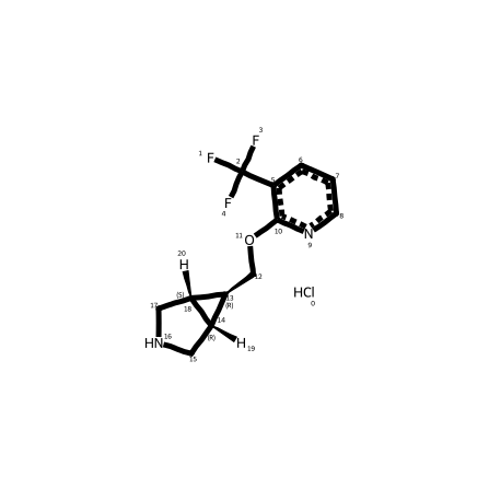 Cl.FC(F)(F)c1cccnc1OC[C@H]1[C@@H]2CNC[C@@H]21